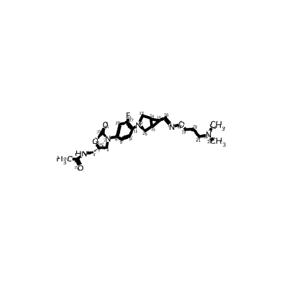 CC(=O)NC[C@H]1CN(c2ccc(N3CC4C(C=NOCCCN(C)C)C4C3)c(F)c2)C(=O)O1